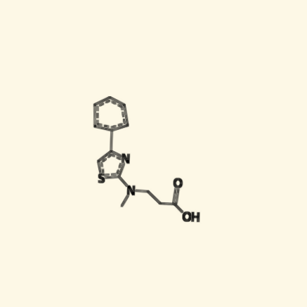 CN(CCC(=O)O)c1nc(-c2ccccc2)cs1